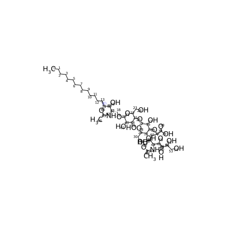 CCCCCCCCCCCCC/C=C/[C@H](O)[C@H](COC1OC(CO)C(OC2OC(CO)C(O)C(OC3(C(=O)O)CC(O)C(NC(C)=O)C([C@H](O)[C@H](O)CO)O3)C2O)C(O)C1O)NC(C)=O